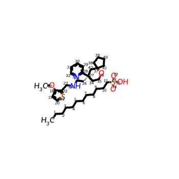 CCCCCCCCCCCCS(=O)(=O)O.COc1ccsc1CNCC[C@@]1(c2ccccn2)CCOC2(CCCC2)C1